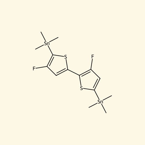 [CH3][Sn]([CH3])([CH3])[c]1cc(F)c(-c2cc(F)[c]([Sn]([CH3])([CH3])[CH3])s2)s1